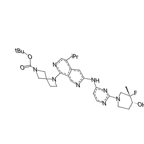 CC(C)c1cnc(N2CCC23CN(C(=O)OC(C)(C)C)C3)c2cnc(Nc3ccnc(N4CC[C@@H](O)[C@@](C)(F)C4)n3)cc12